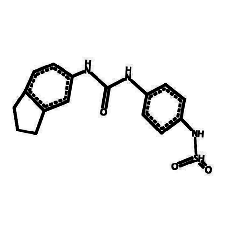 O=C(Nc1ccc(N[SH](=O)=O)cc1)Nc1ccc2c(c1)CCC2